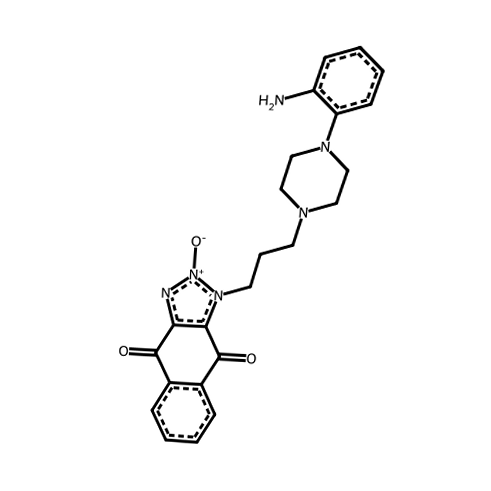 Nc1ccccc1N1CCN(CCCn2c3c(n[n+]2[O-])C(=O)c2ccccc2C3=O)CC1